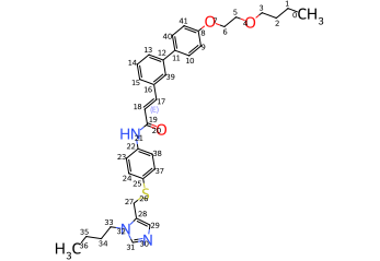 CCCCOCCOc1ccc(-c2cccc(/C=C/C(=O)Nc3ccc(SCc4cncn4CCCC)cc3)c2)cc1